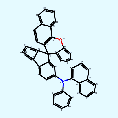 c1ccc(N(c2ccc3c(c2)C2(c4ccccc4Oc4c2ccc2ccccc42)c2ccccc2-3)c2cccc3ccccc23)cc1